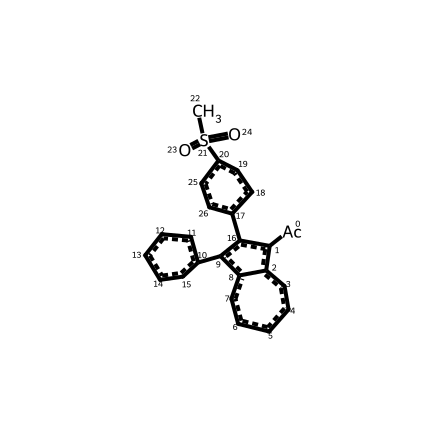 CC(=O)c1c2cccccc-2c(-c2ccccc2)c1-c1ccc(S(C)(=O)=O)cc1